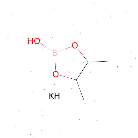 CC1OB(O)OC1C.[KH]